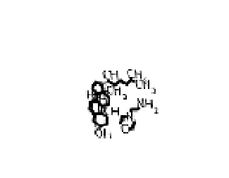 CC(C)CCCC(C)[C@H]1CC[C@H]2[C@@H]3CC=C4C[C@@H](O)CC[C@]4(C)[C@H]3CC[C@]12C.NCCN1CCOCC1